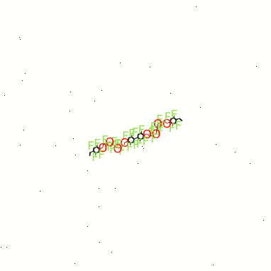 C=Cc1c(F)c(F)c(OCC(F)(F)OC(F)(F)C(F)(F)OC(F)(F)COc2c(F)c(F)c(-c3c(F)c(F)c(OCC(F)(F)OC(F)(F)C(F)(F)OC(F)(F)COc4c(F)c(F)c(C=C)c(F)c4F)c(F)c3F)c(F)c2F)c(F)c1F